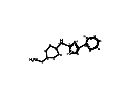 NCC1CCC(Nc2nc(-c3ccccn3)cs2)CC1